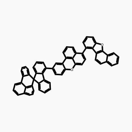 c1ccc2c(c1)-c1c(-c3ccc4c(c3)-c3cccc5c(-c6cccc7oc8c9ccccc9ccc8c67)ccc(c35)O4)cccc1C21c2ccccc2-c2cccc3cccc1c23